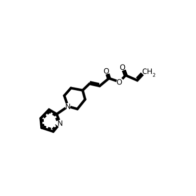 C=CC(=O)OC(=O)/C=C/C1CCN(c2ccccn2)CC1